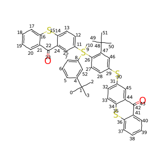 CC(C)(C)c1cccc(S(C)(c2ccc3sc4ccccc4c(=O)c3c2)c2ccc(Sc3ccc4sc5ccccc5c(=O)c4c3)cc2C(C)(C)C)c1